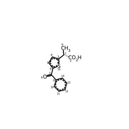 C[C@H](C(=O)O)c1ccc(C(=O)c2ccccc2)s1